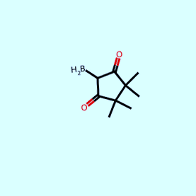 BC1C(=O)C(C)(C)C(C)(C)C1=O